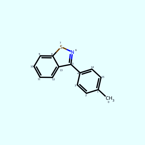 Cc1ccc(-c2nsc3ccccc23)cc1